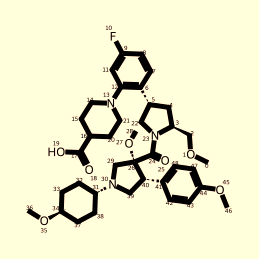 COC[C@@H]1C[C@@H](c2ccc(F)cc2N2CCC(C(=O)O)CC2)CN1C(=O)[C@]1(OC)CN([C@H]2CC[C@H](OC)CC2)C[C@H]1c1ccc(OC)cc1